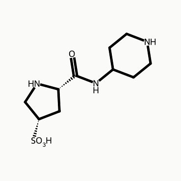 O=C(NC1CCNCC1)[C@@H]1C[C@H](S(=O)(=O)O)CN1